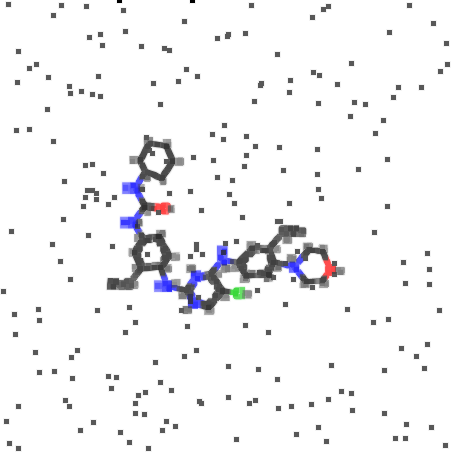 COc1cc(NC(=O)NC2CCCCC2)ccc1Nc1ncc(Cl)c(Nc2ccc(N3CCOCC3)c(OC)c2)n1